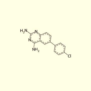 Nc1nc(N)c2cc(-c3ccc(Cl)cc3)ccc2n1